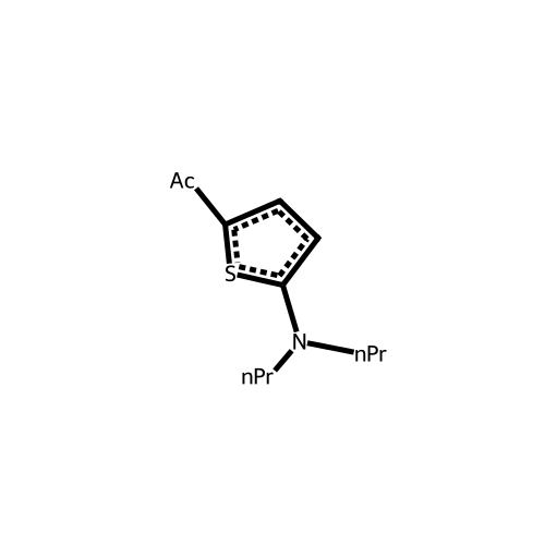 CCCN(CCC)c1ccc(C(C)=O)s1